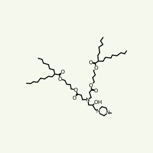 CCCCCCCCC(CCCCCC)C(=O)OCCCCOC(=O)CCN(CCC(=O)OCCCCOC(=O)C(CCCCCC)CCCCCCCC)CC(O)CN1CCN(C)CC1